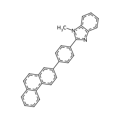 Cn1c(-c2ccc(-c3ccc4c(ccc5ccccc54)c3)cc2)nc2ccccc21